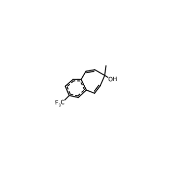 CC1(O)C=Cc2ccc(C(F)(F)F)cc2C=C1